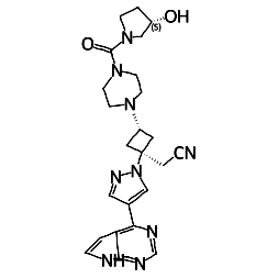 N#CC[C@]1(n2cc(-c3ncnc4[nH]ccc34)cn2)C[C@H](N2CCN(C(=O)N3CC[C@H](O)C3)CC2)C1